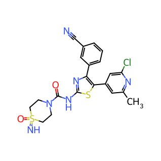 Cc1cc(-c2sc(NC(=O)N3CCS(=N)(=O)CC3)nc2-c2cccc(C#N)c2)cc(Cl)n1